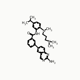 CC(C)c1ccc(N(C)CCCN(C)C)c(NC(=O)c2cccc(-c3ccc4nc(N)ncc4c3)c2)c1